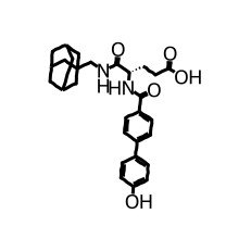 O=C(O)CC[C@H](NC(=O)c1ccc(-c2ccc(O)cc2)cc1)C(=O)NCC12CC3CC(CC(C3)C1)C2